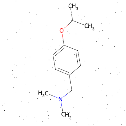 CC(C)Oc1ccc(CN(C)C)cc1